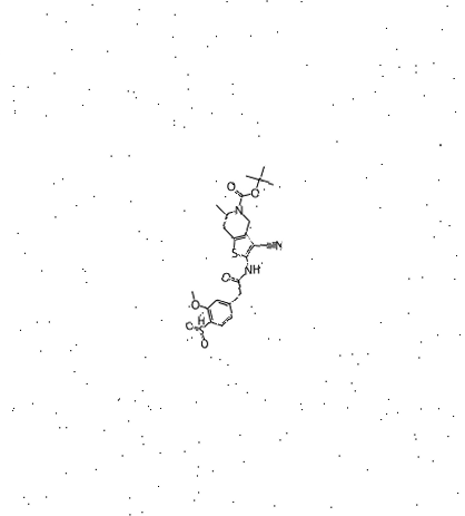 COc1cc(CC(=O)Nc2sc3c(c2C#N)CN(C(=O)OC(C)(C)C)C(C)C3)ccc1[SH](=O)=O